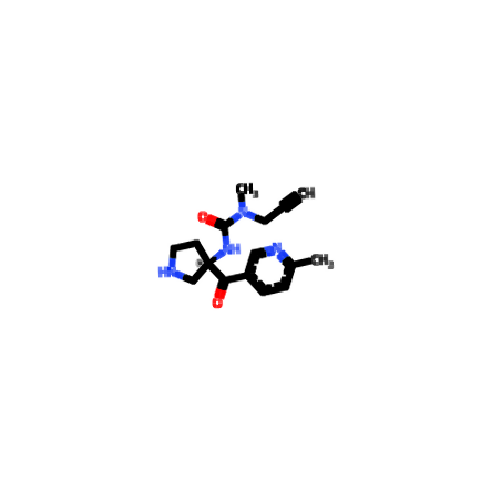 C#CCN(C)C(=O)N[C@]1(C(=O)c2ccc(C)nc2)CCNC1